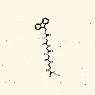 CC(C)(C)OC(=O)NCCNC(=O)CNC(=O)CNC(=O)CNC(=O)OCC1c2ccccc2-c2ccccc21